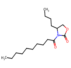 CCCCCCCCCC(=O)N1C(=O)OCC1CCCC